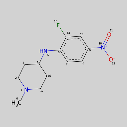 CN1CCC(Nc2ccc([N+](=O)[O-])cc2F)CC1